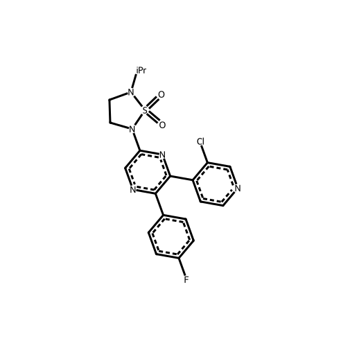 CC(C)N1CCN(c2cnc(-c3ccc(F)cc3)c(-c3ccncc3Cl)n2)S1(=O)=O